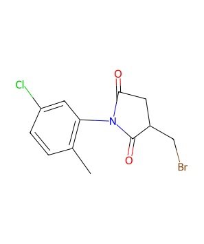 Cc1ccc(Cl)cc1N1C(=O)CC(CBr)C1=O